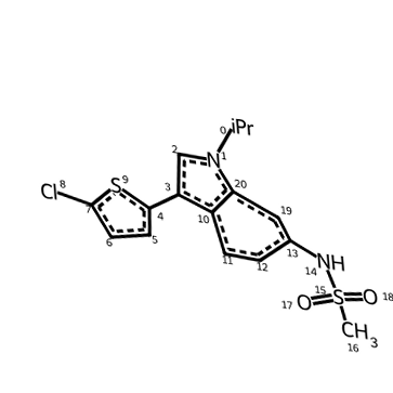 CC(C)n1cc(-c2ccc(Cl)s2)c2ccc(NS(C)(=O)=O)cc21